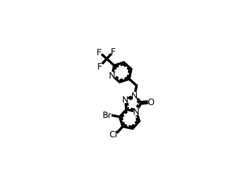 O=c1n(Cc2ccc(C(F)(F)F)nc2)nc2c(Br)c(Cl)ccn12